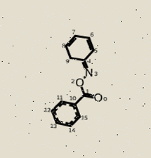 O=C(ON=C1C=CC=CC1)c1ccccc1